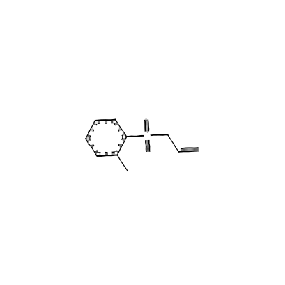 [CH2]c1ccccc1S(=O)(=O)CC=C